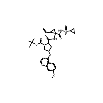 C=CC1CC1(NC(=O)C1CC(Oc2ccnc3cc(OC)ccc23)CN1C(=O)OC(C)(C)C)C(=O)NS(=O)(=O)C1CC1